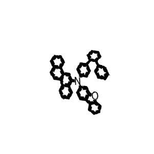 c1ccc(-c2ccccc2-c2ccc(N(c3ccc4c(c3)oc3ccccc34)c3cc4c5ccccc5ccc4c4ccccc34)cc2)cc1